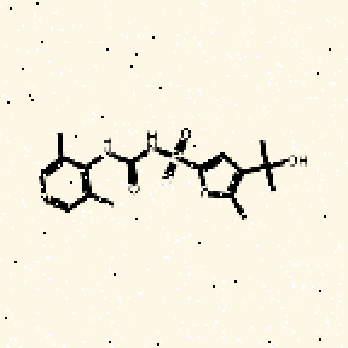 Cc1cncc(C)c1NC(=O)NS(=O)(=O)c1cc(C(C)(C)O)c(C)o1